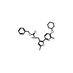 Cc1nc(-c2sc(F)cc2CNC(=O)OCc2ccccc2)ccc1OC1CCCCC1